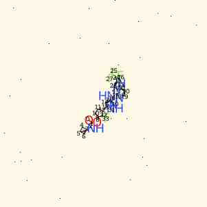 O=C(NC12CC(C1)C2)O[C@H]1CC[C@@H](c2cc(Nc3nccc4nc(C(F)(F)F)cn34)n[nH]2)[C@H]1F